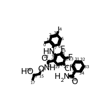 Cc1cc(I)ccc1Nc1c(C(=O)NOCC(C)O)cc(Cl)c(F)c1F.NC(=O)c1ccccc1